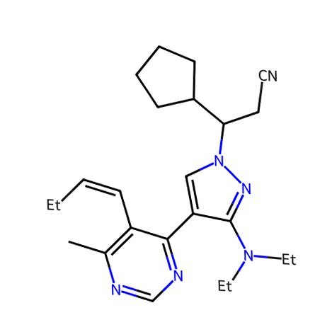 CC/C=C\c1c(C)ncnc1-c1cn(C(CC#N)C2CCCC2)nc1N(CC)CC